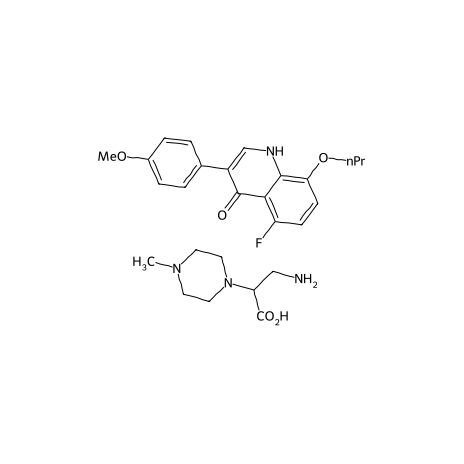 CCCOc1ccc(F)c2c(=O)c(-c3ccc(OC)cc3)c[nH]c12.CN1CCN(C(CN)C(=O)O)CC1